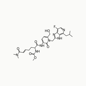 COC(=O)NC(CC/C=C/C(=O)N(C)C)C(=O)Nc1ccc(CO)n(Cc2nc3c(F)cnc(CC(C)C)c3[nH]2)c1=O